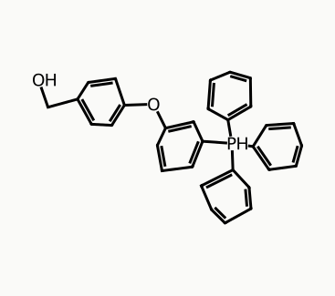 OCc1ccc(Oc2cccc([PH](c3ccccc3)(c3ccccc3)c3ccccc3)c2)cc1